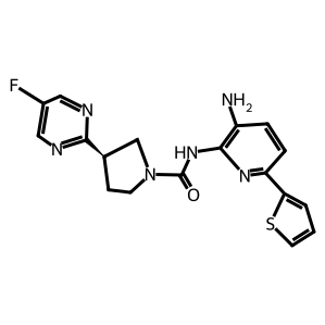 Nc1ccc(-c2cccs2)nc1NC(=O)N1CC[C@@H](c2ncc(F)cn2)C1